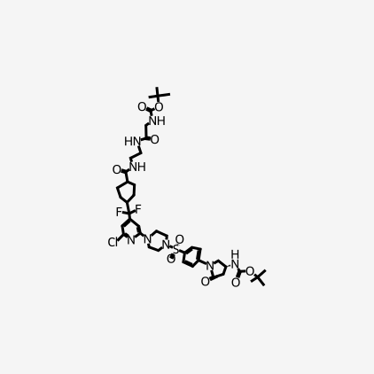 CC(C)(C)OC(=O)NCC(=O)NCCNC(=O)C1CCC(C(F)(F)c2cc(Cl)nc(N3CCN(S(=O)(=O)c4ccc(N5C[C@H](NC(=O)OC(C)(C)C)CC5=O)cc4)CC3)c2)CC1